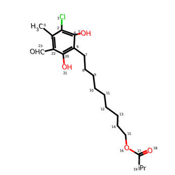 Cc1c(Cl)c(O)c(CCCCCCCCCOC(=O)C(C)C)c(O)c1C=O